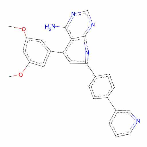 COc1cc(OC)cc(-c2cc(-c3ccc(-c4cccnc4)cc3)nc3ncnc(N)c23)c1